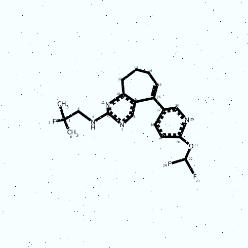 CC(C)(F)CNc1ncc2c(n1)CCCC=C2c1ccc(OC(F)F)nc1